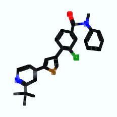 CN(C(=O)c1ccc(-c2csc(-c3ccnc(C(C)(C)C)c3)c2)c(Cl)c1)c1ccccc1